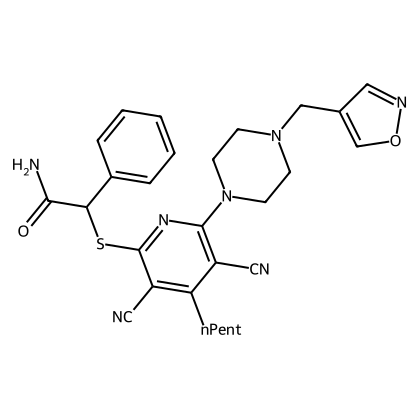 CCCCCc1c(C#N)c(SC(C(N)=O)c2ccccc2)nc(N2CCN(Cc3cnoc3)CC2)c1C#N